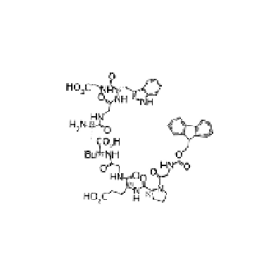 CC[C@H](C)[C@H](NC(=O)CNC(=O)[C@H](CCC(=O)O)NC(=O)[C@@H]1CCCN1C(=O)CNC(=O)OCC1c2ccccc2-c2ccccc21)C(=O)O.C[C@H](N)C(=O)NCC(=O)N[C@@H](Cc1c[nH]c2ccccc12)C(=O)NCC(=O)O